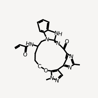 C=CC(=O)NC1CCCOc2c(cnn2C)-c2cc(nc(C)n2)C(=O)/N=C2\Nc3ccccc3N2C1